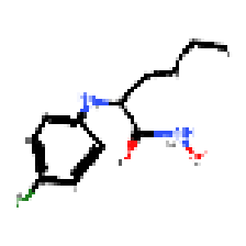 CCCCC(Nc1ccc(Cl)cc1)C(=O)NO